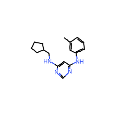 Cc1cccc(Nc2cc(NCC3CCCC3)ncn2)c1